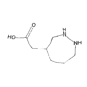 O=C(O)CC1CCCNNC1